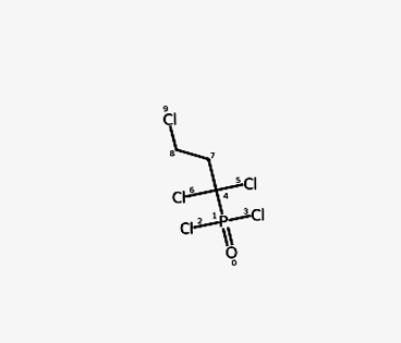 O=P(Cl)(Cl)C(Cl)(Cl)CCCl